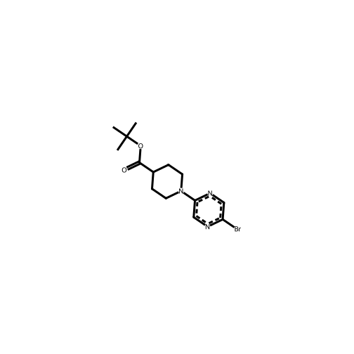 CC(C)(C)OC(=O)C1CCN(c2cnc(Br)cn2)CC1